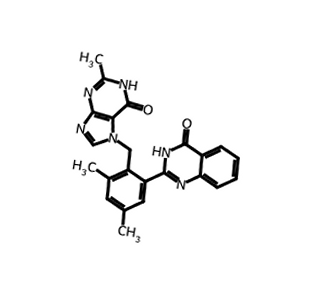 Cc1cc(C)c(Cn2cnc3nc(C)[nH]c(=O)c32)c(-c2nc3ccccc3c(=O)[nH]2)c1